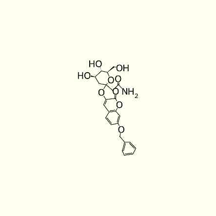 NC(=O)CC1(Oc2cc3ccc(OCc4ccccc4)cc3oc2=O)C[C@@H](O)[C@H](O)[C@@H](CO)O1